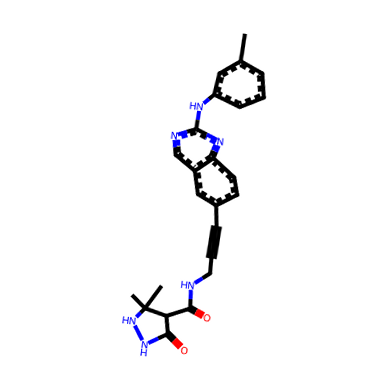 Cc1cccc(Nc2ncc3cc(C#CCNC(=O)C4C(=O)NNC4(C)C)ccc3n2)c1